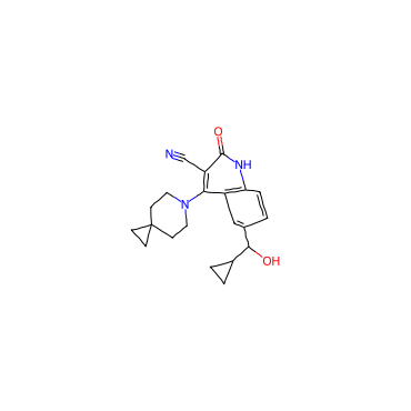 N#Cc1c(N2CCC3(CC2)CC3)c2cc(C(O)C3CC3)ccc2[nH]c1=O